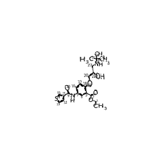 CCOC(=O)c1cc(NC(=O)c2ccsc2)ccc1OCC(O)CNC(C)(C)C